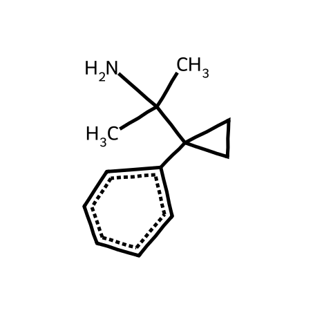 CC(C)(N)C1(c2ccccc2)CC1